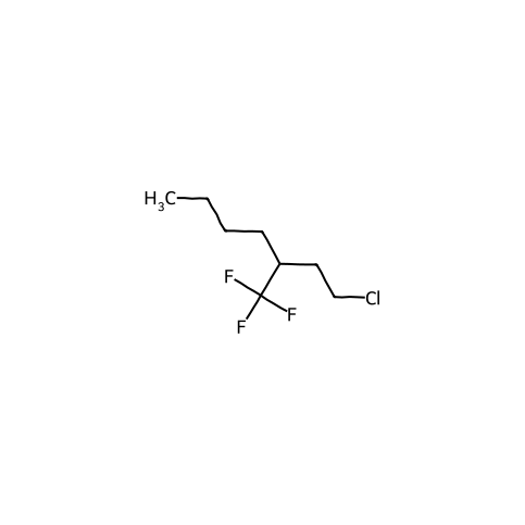 CCCCC(CCCl)C(F)(F)F